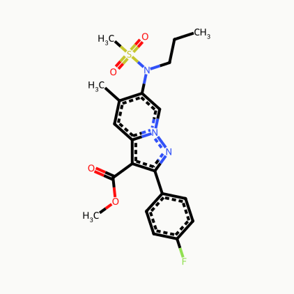 CCCN(c1cn2nc(-c3ccc(F)cc3)c(C(=O)OC)c2cc1C)S(C)(=O)=O